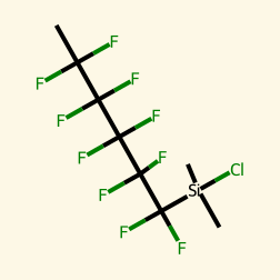 CC(F)(F)C(F)(F)C(F)(F)C(F)(F)C(F)(F)[Si](C)(C)Cl